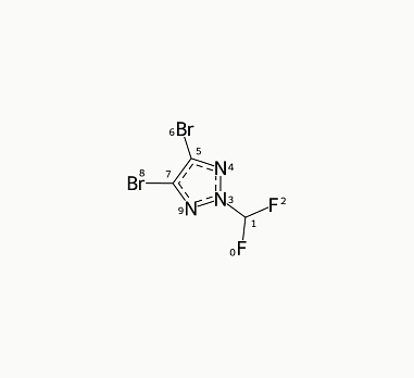 FC(F)n1nc(Br)c(Br)n1